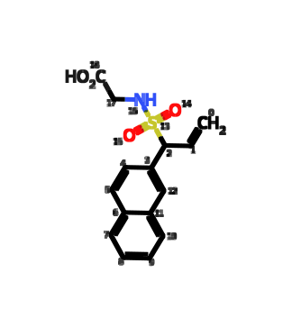 C=CC(c1ccc2ccccc2c1)S(=O)(=O)NCC(=O)O